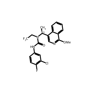 COc1ncc([C@H](C)N(CC(F)(F)F)C(=O)Nc2ccc(F)c(Cl)c2)c2ccccc12